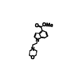 COC(=O)c1cccc2c1ccn2CCN1CCOCC1